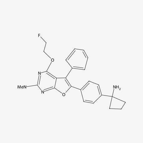 CNc1nc(OCCF)c2c(-c3ccccc3)c(-c3ccc(C4(N)CCC4)cc3)oc2n1